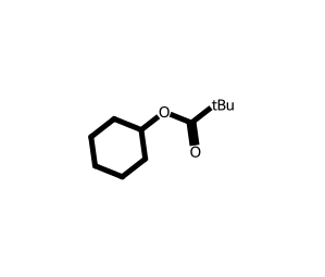 CC(C)(C)C(=O)OC1CCCCC1